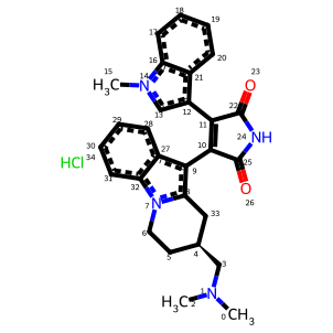 CN(C)C[C@H]1CCn2c(c(C3=C(c4cn(C)c5ccccc45)C(=O)NC3=O)c3ccccc32)C1.Cl